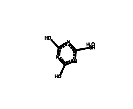 O.Oc1nc(O)nc(O)n1